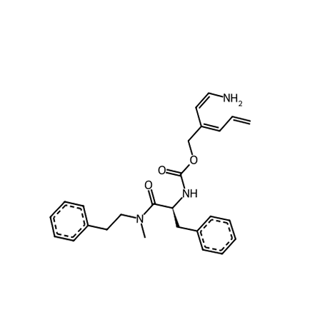 C=C/C=C(\C=C/N)COC(=O)N[C@@H](Cc1ccccc1)C(=O)N(C)CCc1ccccc1